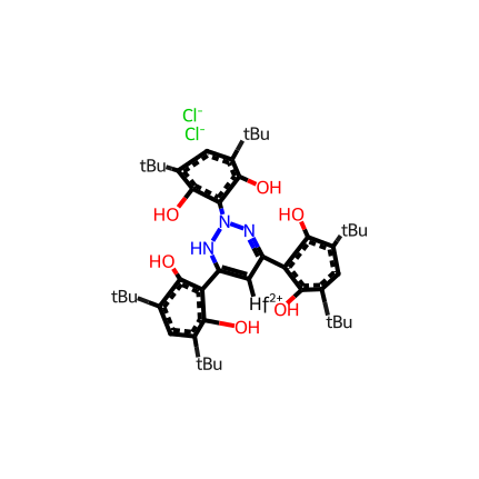 CC(C)(C)c1cc(C(C)(C)C)c(O)c(C2=NN(c3c(O)c(C(C)(C)C)cc(C(C)(C)C)c3O)NC(c3c(O)c(C(C)(C)C)cc(C(C)(C)C)c3O)=[C]2[Hf+2])c1O.[Cl-].[Cl-]